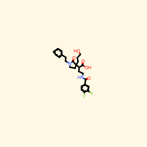 O=C(NCCC(C(=O)O)C1(CCCO)CCN(CCc2ccccc2)C1=O)c1ccc(F)c(F)c1